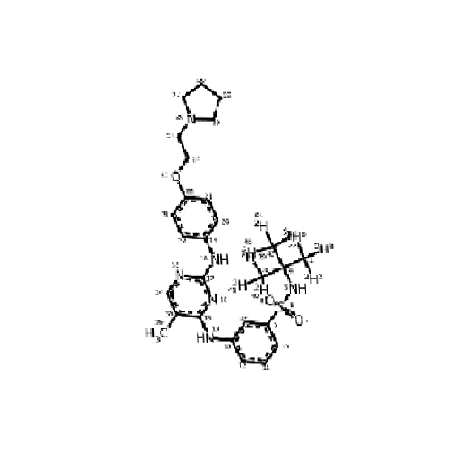 [2H]C([2H])([2H])C(NS(=O)(=O)c1cccc(Nc2nc(Nc3ccc(OCCN4CCCC4)cc3)ncc2C)c1)(C([2H])([2H])[2H])C([2H])([2H])[2H]